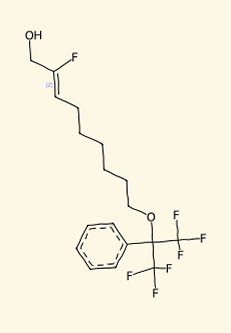 OC/C(F)=C/CCCCCCOC(c1ccccc1)(C(F)(F)F)C(F)(F)F